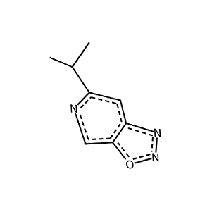 CC(C)c1cc2nnoc2cn1